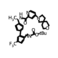 C[C@@H](NC(=O)c1cc(N2CCC3(CCOCC3)C2)ccn1)c1ccc(-c2cc(C(F)(F)F)ccc2CNC(=O)OC(C)(C)C)cc1